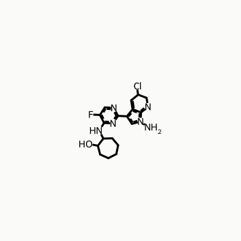 Nn1cc(-c2ncc(F)c(NC3CCCCCC3O)n2)c2c1=NCC(Cl)C=2